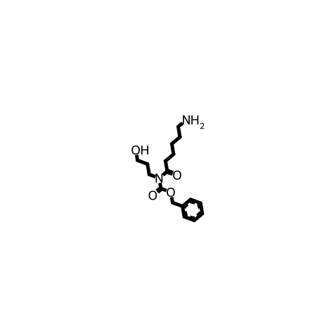 NCCCCCC(=O)N(CCCO)C(=O)OCc1ccccc1